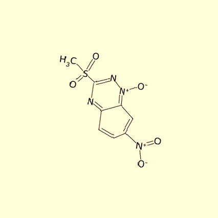 CS(=O)(=O)c1nc2ccc([N+](=O)[O-])cc2[n+]([O-])n1